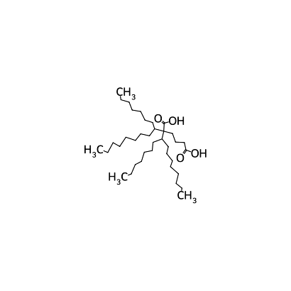 CCCCCCCCC(CCCCCCC)C(CCCC(=O)O)(C(=O)O)C(CCCCCCC)CCCCCCCC